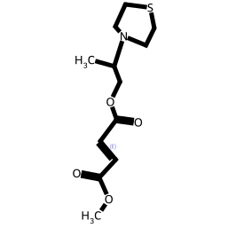 COC(=O)/C=C/C(=O)OCC(C)N1CCSCC1